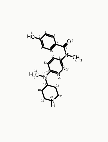 CN(C(=O)c1ccc(O)cc1)c1ccc(N(C)C2CCNCC2)nn1